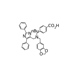 CCCCn1c(-c2ccccc2)nc(-c2ccccc2)c1CN(Cc1ccc(C(=O)O)cc1)Cc1ccc2c(c1)OCO2